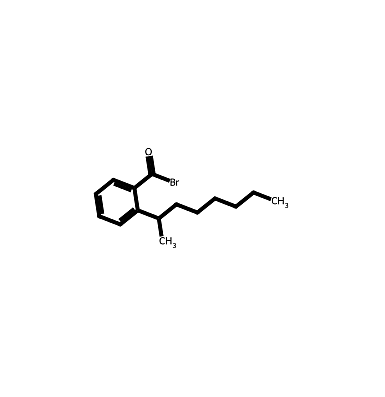 CCCCCCC(C)c1ccccc1C(=O)Br